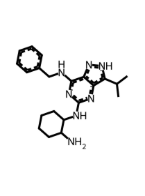 CC(C)c1[nH]nc2c(NCc3ccccc3)nc(NC3CCCCC3N)nc12